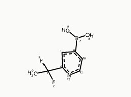 CC(F)(F)c1cc(B(O)O)ccn1